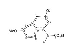 CCOC(=O)C(C)c1c[n+]([O-])cc2cc(OC)ccc12